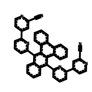 N#Cc1cc(-c2cccc(-c3c4ccccc4c(-c4cccc(-c5ccnc(C#N)c5)n4)c4c5ccccc5c5ccccc5c34)n2)ccn1